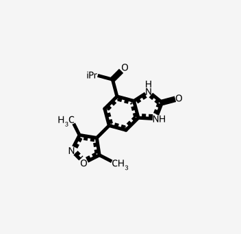 Cc1noc(C)c1-c1cc(C(=O)C(C)C)c2[nH]c(=O)[nH]c2c1